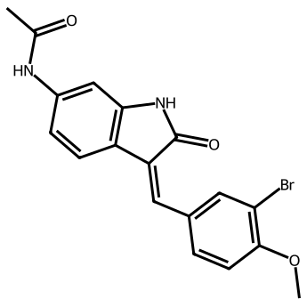 COc1ccc(/C=C2\C(=O)Nc3cc(NC(C)=O)ccc32)cc1Br